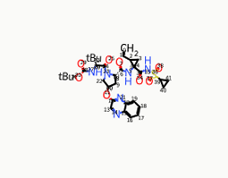 C=CC1C[C@]1(NC(=O)[C@@H]1C[C@@H](Oc2cnc3ccccc3n2)CN1C(=O)[C@@H](NC(=O)OC(C)(C)C)C(C)(C)C)C(=O)NS(=O)(=O)C1CC1